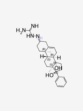 C[C@]12CC[C@H]3[C@@H](CC=C4C/C(=N/NC(=N)N)CC[C@@]43C)[C@@]1(O)CC[C@]2(O)c1ccccc1